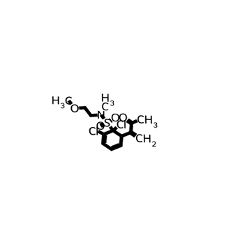 C=C(C(C)=O)C1C=CC=C(Cl)C1(Cl)S(=O)(=O)N(C)CCOC